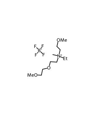 CC[N+](C)(CCOC)CCOCCOC.F[B-](F)(F)F